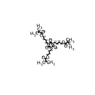 C=C(C)C(=O)OCCCCn1c(=O)n(CCCCOC(=O)C(=C)C)c(=O)n(CCCCOC(=O)C(C)C)c1=O